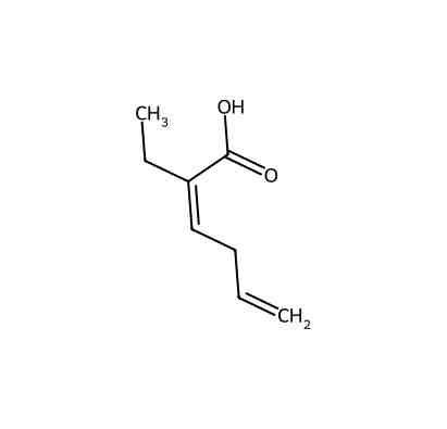 C=CCC=C(CC)C(=O)O